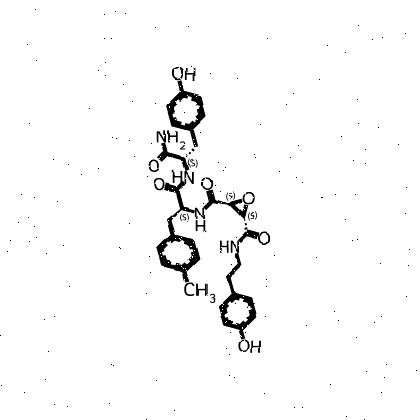 Cc1ccc(C[C@H](NC(=O)[C@H]2O[C@@H]2C(=O)NCCc2ccc(O)cc2)C(=O)N[C@@H](Cc2ccc(O)cc2)C(N)=O)cc1